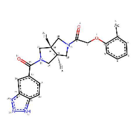 CC(=O)c1ccccc1OCC(=O)N1C[C@H]2CN(C(=O)c3ccc4[nH]nnc4c3)C[C@@H]2C1